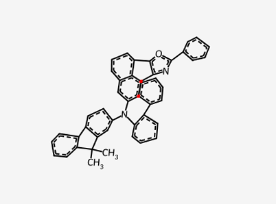 CC1(C)c2ccccc2-c2ccc(N(c3cc4c5c(cccc5c3)-c3oc(-c5ccccc5)nc3-4)c3ccccc3-c3ccccc3)cc21